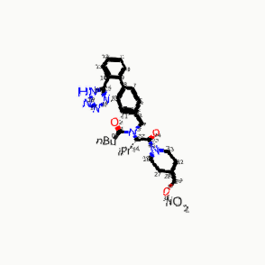 CCCCC(=O)N(Cc1ccc(-c2ccccc2-c2nnn[nH]2)cc1)[C@H](C(=O)N1CCC(CO[N+](=O)[O-])CC1)C(C)C